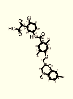 Cc1ccc2c(c1)O[C@H](COc1cc(C)c(C(=O)Nc3ccc(Cl)c(C(=O)C(=O)O)c3)cc1C)CN2C